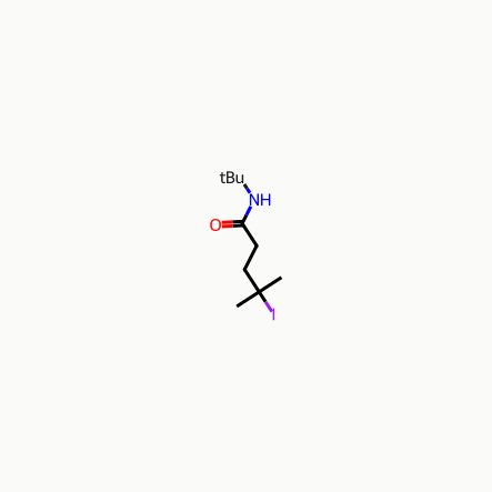 CC(C)(I)CCC(=O)NC(C)(C)C